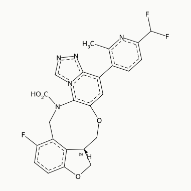 Cc1nc(C(F)F)ccc1-c1cc2c(n3cnnc13)N(C(=O)O)Cc1c(F)ccc3c1[C@@H](CO3)CO2